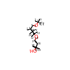 CCC(C)(C)OCC(C)C(C)(C)C(C)(C)OCCC(C)(C)O